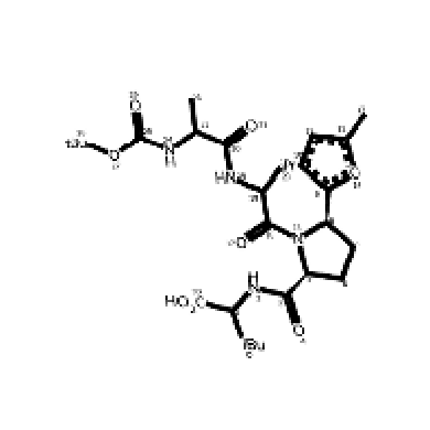 CCC(C)C(NC(=O)[C@@H]1CC[C@H](c2ccc(C)o2)N1C(=O)C(NC(=O)C(C)NC(=O)OC(C)(C)C)C(C)C)C(=O)O